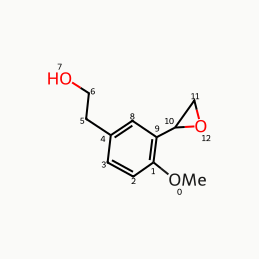 COc1ccc(CCO)cc1C1CO1